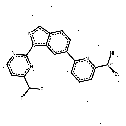 CC[C@H](N)c1cccc(-c2ccc3cnn(-c4nccc(C(F)F)n4)c3c2)n1